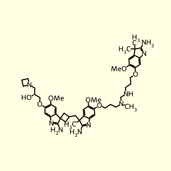 COc1cc2c(cc1OCCCNCN(C)CCCOc1cc3c(cc1OC)C(C)(CC1CC4(C1)C(N)=Nc1cc(OC[C@@H](O)CN5CCC5)c(OC)cc14)C(N)=N3)N=C(N)C2(C)C